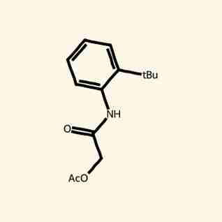 CC(=O)OCC(=O)Nc1ccccc1C(C)(C)C